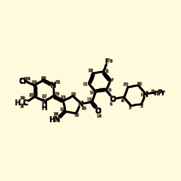 CCCN1CCC(Oc2cc(F)ccc2C(=O)N2CC(=N)/C(=C3/N=CC(Cl)=C(C)N3)C2)CC1